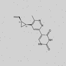 C=C[C@@H]1C[C@@H]1c1cc(-c2c[nH]c(=O)[nH]c2=O)nnc1C